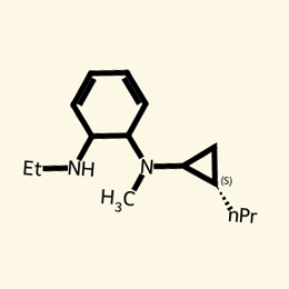 CCC[C@H]1CC1N(C)C1C=CC=CC1NCC